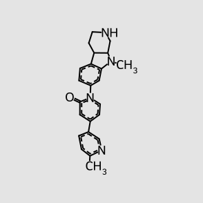 Cc1ccc(-c2ccn(-c3ccc4c(c3)N(C)C3CNCCC43)c(=O)c2)cn1